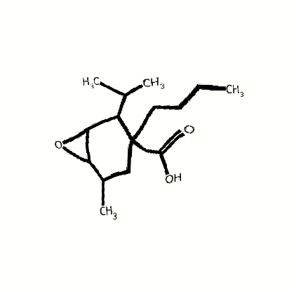 CCCCC1(C(=O)O)CC(C)C2OC2C1C(C)C